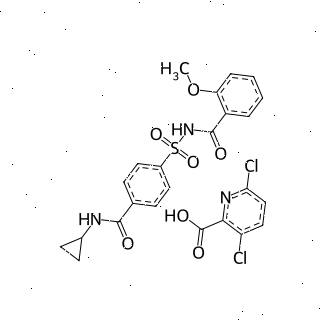 COc1ccccc1C(=O)NS(=O)(=O)c1ccc(C(=O)NC2CC2)cc1.O=C(O)c1nc(Cl)ccc1Cl